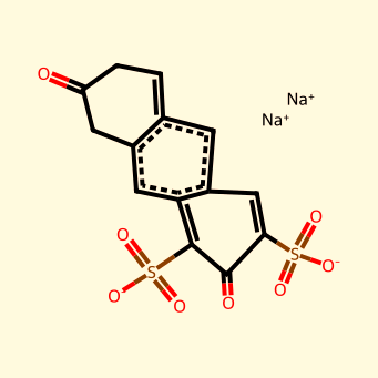 O=C1CC=c2cc3c(cc2C1)=C(S(=O)(=O)[O-])C(=O)C(S(=O)(=O)[O-])=C3.[Na+].[Na+]